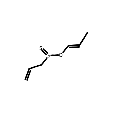 C=CCS(=S)OC=CC